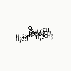 C=C(C)C(=O)OCCNC(=O)OC(COc1ccc(C(C(C)C)C(C)C(C)C)cc1)CSc1ccccc1